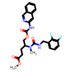 COC(=O)CCC(COC(=O)Nc1cc2ccccc2cn1)N(C)C(=O)NCc1cccc(F)c1F